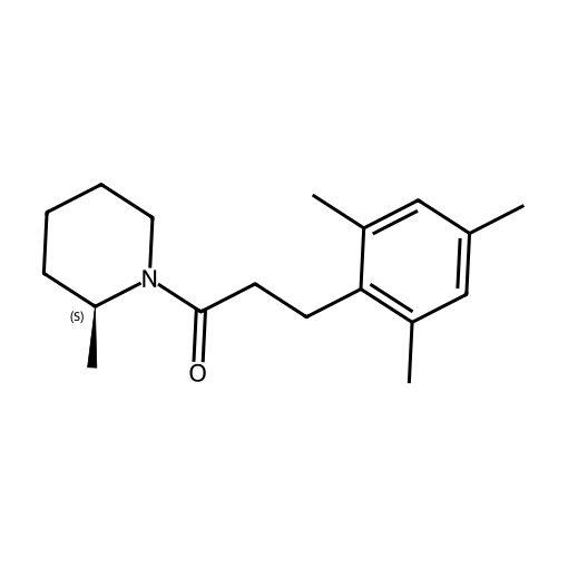 Cc1cc(C)c(CCC(=O)N2CCCC[C@@H]2C)c(C)c1